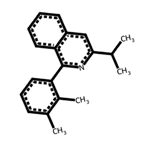 Cc1cccc(-c2nc(C(C)C)cc3ccccc23)c1C